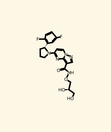 O=C(NOC[C@H](O)CO)c1cnn2ccc(N3CCC[C@@H]3c3cc(F)ccc3F)nc12